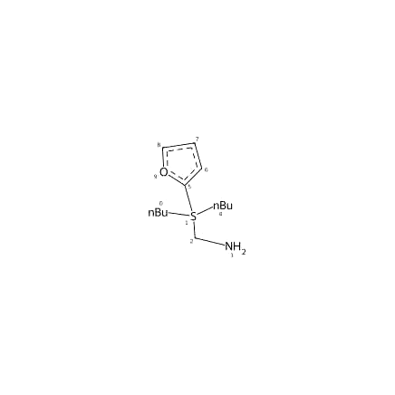 CCCCS(CN)(CCCC)c1ccco1